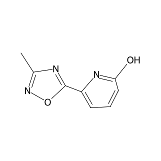 Cc1noc(-c2cccc(O)n2)n1